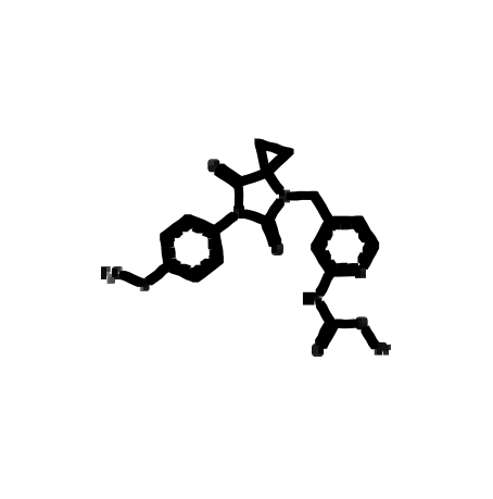 CC(C)OC(=O)Nc1cc(CN2C(=O)N(c3ccc(SC(F)(F)F)cc3)C(=O)C23CC3)ccn1